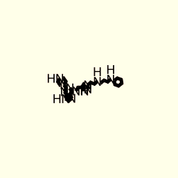 c1nc2c(NCc3cn(CCNCCCNC4CCCCC4)nn3)nc(N3CCNCC3)nc2[nH]1